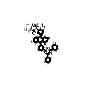 CC(C)P(c1cccc(-c2c3ccccc3c(-c3cccc(-c4nc(-c5ccccc5)nc(-c5ccccc5)n4)c3)c3ccccc23)c1)C(C)C